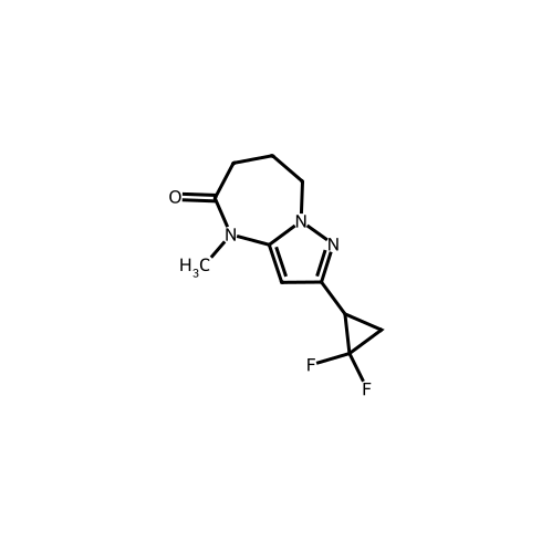 CN1C(=O)CCCn2nc(C3CC3(F)F)cc21